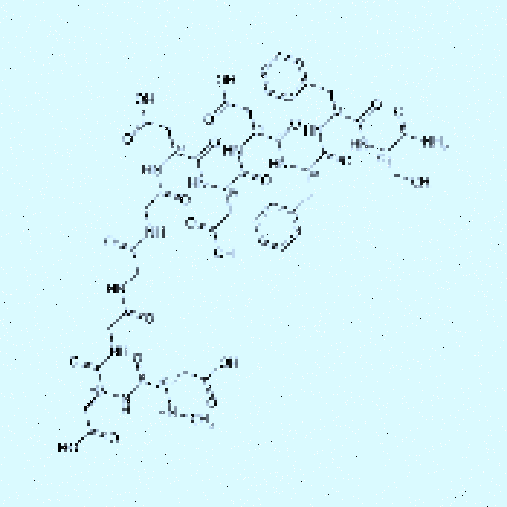 CC[C@H](NC(=O)[C@H](Cc1ccccc1)NC(=O)[C@H](Cc1ccccc1)NC(=O)[C@H](CC(=O)O)NC(=O)[C@H](CC(=O)O)NC(=O)[C@H](CC(=O)O)NC(=O)CNC(=O)CNC(=O)CNC(=O)[C@H](CC(=O)O)NC(=O)[C@H](CC(=O)O)NC)C(N)=O